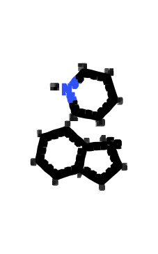 c1ccc2[se]ccc2c1.c1ccncc1